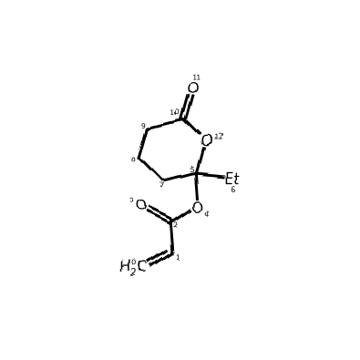 C=CC(=O)OC1(CC)CCCC(=O)O1